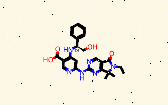 CCN1C(=O)c2cnc(Nc3cc(N[C@H](CO)c4ccccc4)c(C(=O)O)cn3)nc2C1(C)C